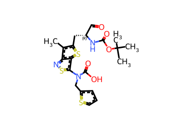 Cc1c(C[C@H](C=O)NC(=O)OC(C)(C)C)sc2c(N(Cc3cccs3)C(=O)O)snc12